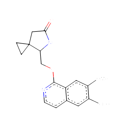 COc1cc2c(OCC3NC(=O)CC34CC4)nccc2cc1C=O